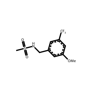 COc1cc(CNS(C)(=O)=O)cc(C(F)(F)F)c1